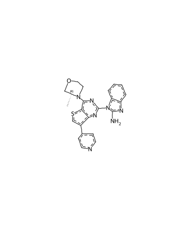 C[C@@H]1COCCN1c1nc(-n2c(N)nc3ccccc32)nc2c(-c3ccncc3)csc12